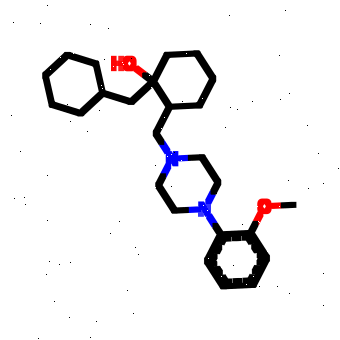 COc1ccccc1N1CCN(CC2CCCCC2(O)CC2CCCCC2)CC1